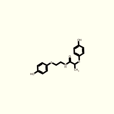 CC(Sc1ccc(O)cc1)C(=O)NCCSc1ccc(O)cc1